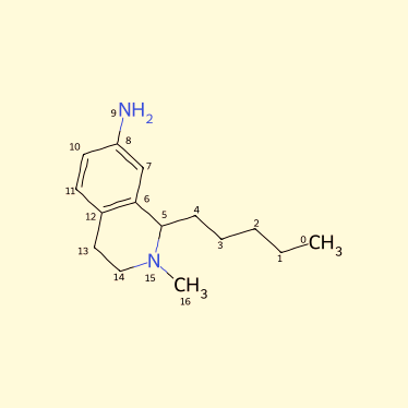 CCCCCC1c2cc(N)ccc2CCN1C